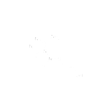 Nc1nnc2ccn(OCCO)n12